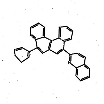 C1=CC(c2cc3cc(-c4ccc5ccccc5n4)c4ccccc4c3c3ccccc23)=CCC1